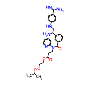 CC(C)OOCCOC(=O)CCN(C(=O)c1cccc(C(N)CNc2ccc(C(=N)N)cc2)c1)c1ccccn1